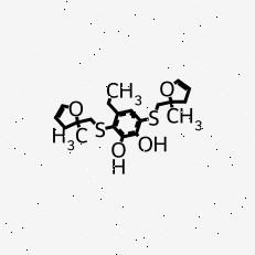 CCc1cc(SCC2(C)CC=CO2)c(O)c(O)c1SCC1(C)CC=CO1